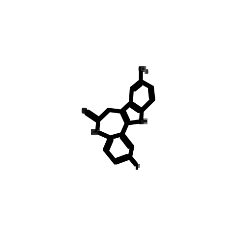 O=C1Cc2c([nH]c3ccc(C(F)(F)F)cc23)-c2cc(F)ccc2N1